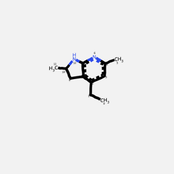 CCc1cc(C)nc2c1CC(C)N2